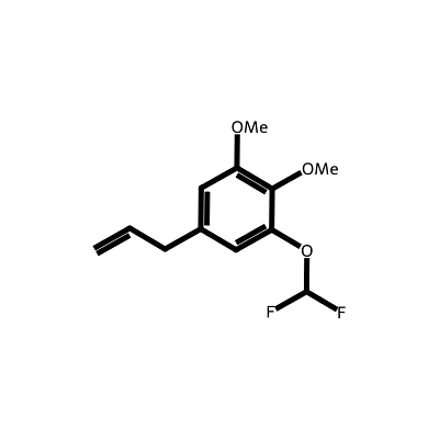 C=CCc1cc(OC)c(OC)c(OC(F)F)c1